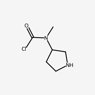 CN(C(=O)Cl)C1CCNC1